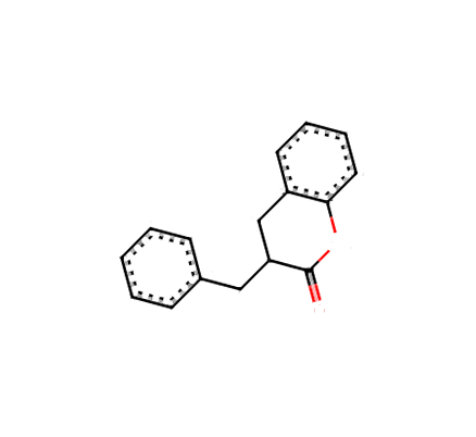 O=C1Oc2ccccc2CC1Cc1ccccc1